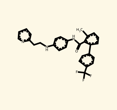 Cc1cccc(-c2ccc(C(F)(F)F)cc2)c1C(=O)Nc1ccc(NCCc2ccccn2)cc1